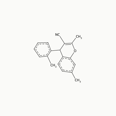 CC1=C(C#N)C(c2ccccc2C)c2ccc(C)cc2O1